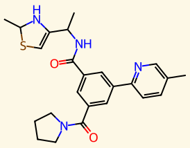 Cc1ccc(-c2cc(C(=O)NC(C)C3=CSC(C)N3)cc(C(=O)N3CCCC3)c2)nc1